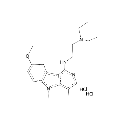 CCN(CC)CCNc1ncc(C)c2c1c1cc(OC)ccc1n2C.Cl.Cl